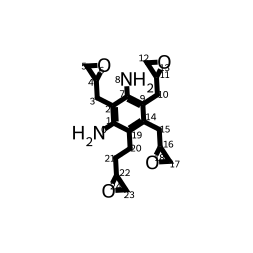 Nc1c(CC2CO2)c(N)c(CC2CO2)c(CC2CO2)c1CCC1CO1